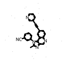 Cc1nc2cnc3ccc(C#Cc4cccnc4)cc3c2n1-c1cccc(C#N)c1